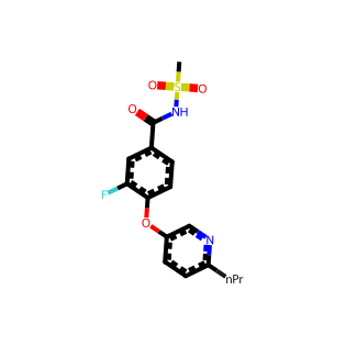 CCCc1ccc(Oc2ccc(C(=O)NS(C)(=O)=O)cc2F)cn1